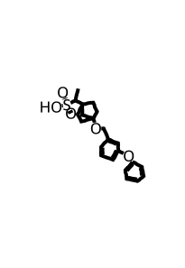 CC(C12CCC(OCc3cccc(Oc4ccccc4)c3)(CC1)C2)S(=O)(=O)O